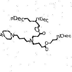 CCCCCCCCCCCCCOC(=O)CCCN(CCCCN1CCN(C)CC1)CCC(=O)OCC(CCCCCCCCCC)CCCCCCCCCCCC